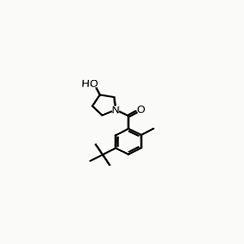 Cc1ccc(C(C)(C)C)cc1C(=O)N1CCC(O)C1